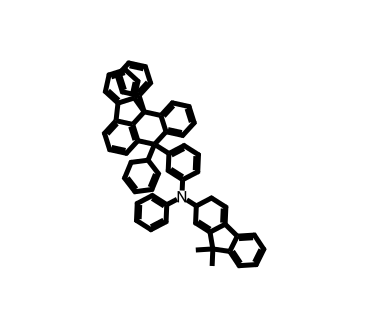 CC1(C)C2=CC(N(c3ccccc3)c3cccc(C4(C5C=CC=CC5)c5ccccc5C5(c6ccccc6)c6ccccc6-c6cccc4c65)c3)CC=C2c2ccccc21